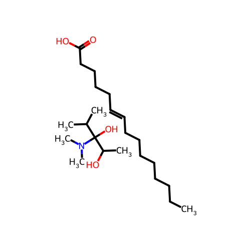 CC(C)C(O)(C(C)O)N(C)C.CCCCCCCCC=CCCCCC(=O)O